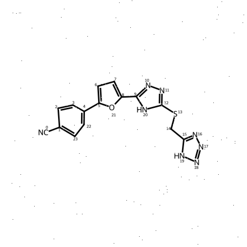 N#Cc1ccc(-c2ccc(-c3nnc(SCc4nnn[nH]4)[nH]3)o2)cc1